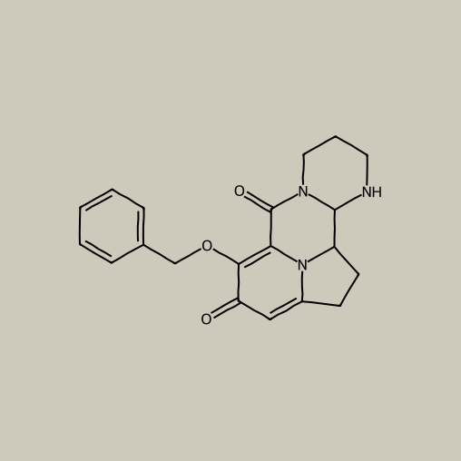 O=C1c2c(OCc3ccccc3)c(=O)cc3n2C(CC3)C2NCCCN12